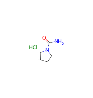 Cl.NC(=O)N1C[CH]CC1